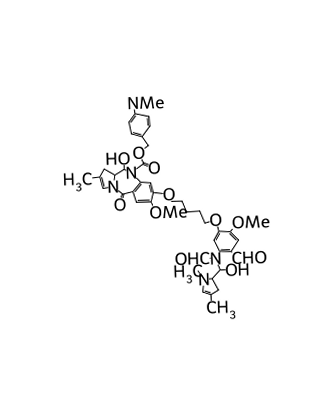 CNc1ccc(COC(=O)N2c3cc(OCCCCCOc4cc(N(C=O)C(O)C5CC(C)=CN5C)c(C=O)cc4OC)c(OC)cc3C(=O)N3C=C(C)CC3C2O)cc1